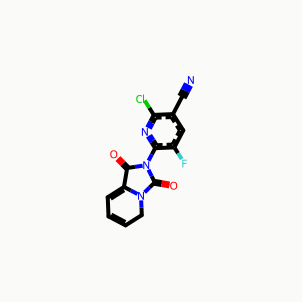 N#Cc1cc(F)c(N2C(=O)C3=CC=CCN3C2=O)nc1Cl